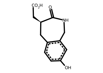 O=C(O)C[C@@H]1Cc2ccc(O)cc2CNC1=O